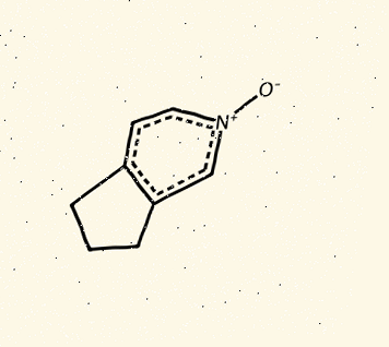 [O-][n+]1ccc2c(c1)CCC2